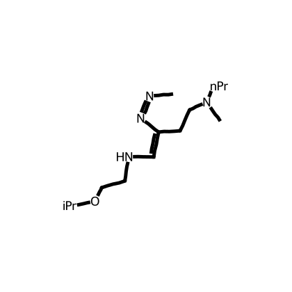 CCCN(C)CCC(=C/NCCOC(C)C)/N=N\C